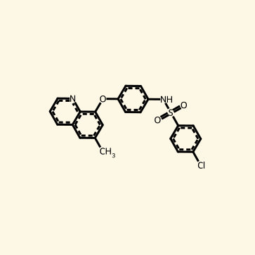 Cc1cc(Oc2ccc(NS(=O)(=O)c3ccc(Cl)cc3)cc2)c2ncccc2c1